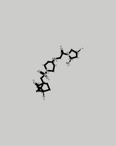 CC1(C)[C@@H]2CCC1(CS(=O)(=O)N1CCC(NCC(=O)N3C[C@@H](F)C[C@H]3C#N)CC1)C(=O)C2